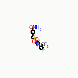 C[C@@H]1CN(c2ccc(F)cc2C(F)(F)F)CCN1S(=O)(=O)c1ccc(-c2ccc(C(N)=O)cc2)s1